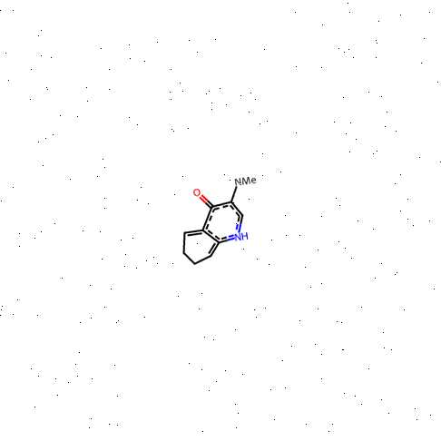 CNc1c[nH]c2c(c1=O)=CCCC=2